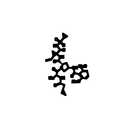 C=CC1CC1(NC(=O)[C@@H]1C[C@@H](NC(=O)c2c(OC)cccc2OC)CN1C(=O)[C@@H](NC(=O)CC1CC1)C(C)(C)C)C(=O)NS(=O)(=O)C1CC1